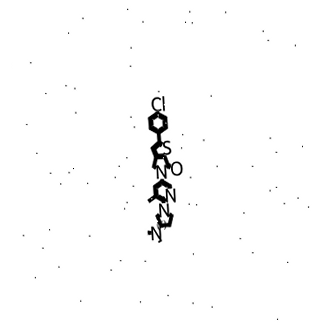 Cc1cc(N2Cc3cc(-c4ccc(Cl)cc4)sc3C2=O)cnc1N1CC[C@H](N(C)C)C1